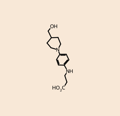 O=C(O)CCNc1ccc(N2CCC(CO)CC2)cc1